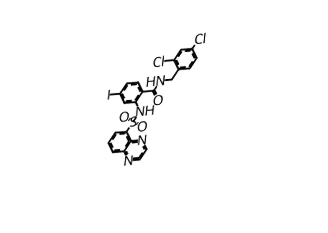 O=C(NCc1ccc(Cl)cc1Cl)c1ccc(I)cc1NS(=O)(=O)c1cccc2nccnc12